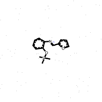 C[Si](C)(C)Oc1ccccc1/N=C/c1ccco1